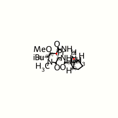 CC[C@H](C)[C@@H]([C@@H](CC(N)=O)OC)N(C)C(=O)[C@@H](NC(=O)[C@H]1N[C@H]2CC[C@H]1[C@@H]2C)C(C)C